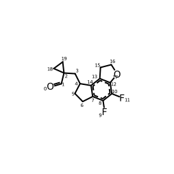 O=CC1(CC2CCc3c(F)c(F)c4c(c32)CCO4)CC1